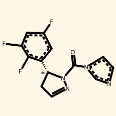 O=C(N1N=CC[C@@H]1c1cc(F)cc(F)c1F)n1ccnc1